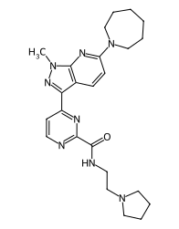 Cn1nc(-c2ccnc(C(=O)NCCN3CCCC3)n2)c2ccc(N3CCCCCC3)nc21